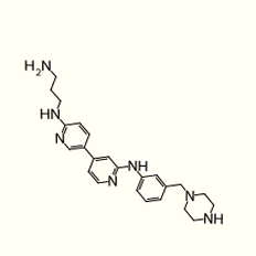 NCCCNc1ccc(-c2ccnc(Nc3cccc(CN4CCNCC4)c3)c2)cn1